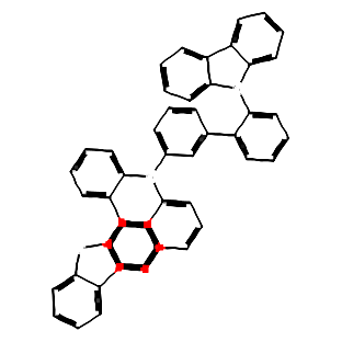 c1cc(-c2ccccc2-n2c3ccccc3c3ccccc32)cc(N(c2ccccc2-c2cccc3c2oc2ccccc23)c2cccc3ccccc23)c1